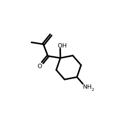 C=C(C)C(=O)C1(O)CCC(N)CC1